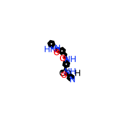 O=C(O)C[C@@H](NC(=O)c1ccncc1)c1ccc(NC(=O)Cc2ccc3nc(Nc4ccccc4)oc3c2)cc1